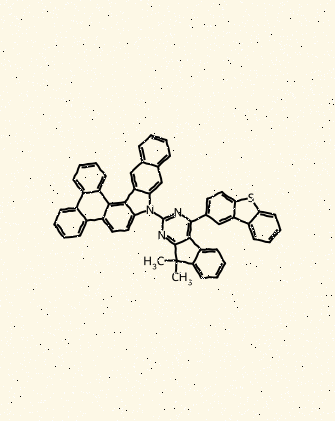 CC1(C)c2ccccc2-c2c(-c3ccc4sc5ccccc5c4c3)nc(-n3c4cc5ccccc5cc4c4c5c6ccccc6c6ccccc6c5ccc43)nc21